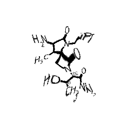 CC(C)CN1C(=O)C(N)C(C)C12CN([C@H](C(N)=O)[C@@H](C)O)C2=O